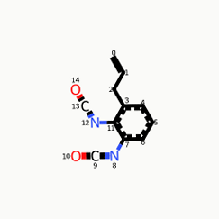 C=CCc1cccc(N=C=O)c1N=C=O